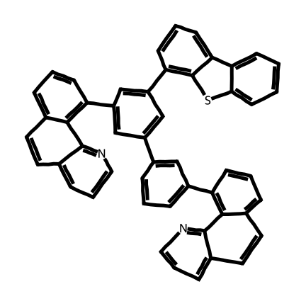 c1cc(-c2cc(-c3cccc4c3sc3ccccc34)cc(-c3cccc4ccc5cccnc5c34)c2)cc(-c2cccc3ccc4cccnc4c23)c1